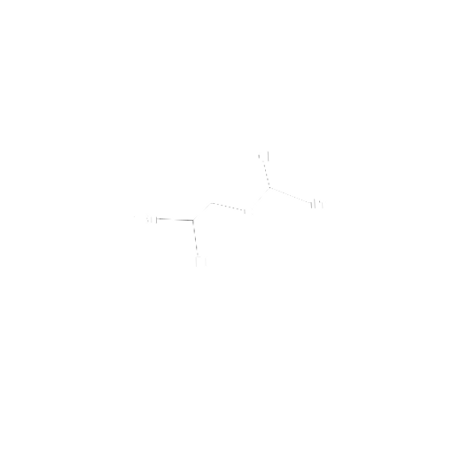 CCCCC(CC)COC(Cl)C(C)C